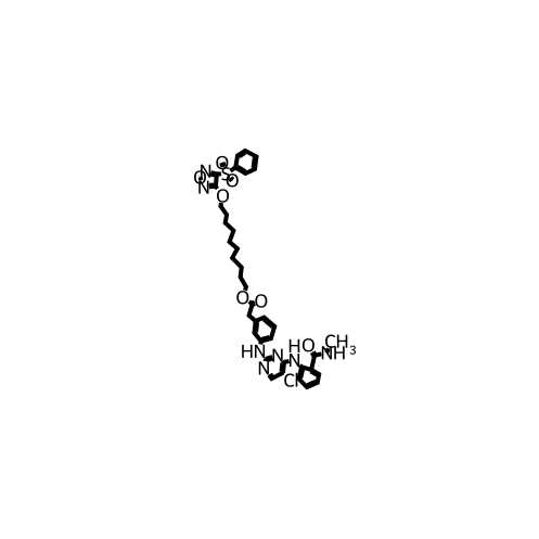 CNC(=O)c1ccccc1Nc1nc(Nc2cccc(CC(=O)OCCCCCCCCCCOc3nonc3S(=O)(=O)c3ccccc3)c2)ncc1Cl